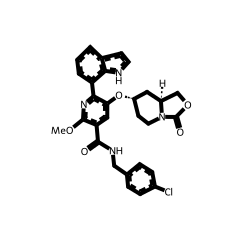 COc1nc(-c2cccc3cc[nH]c23)c(O[C@H]2CCN3C(=O)OC[C@@H]3C2)cc1C(=O)NCc1ccc(Cl)cc1